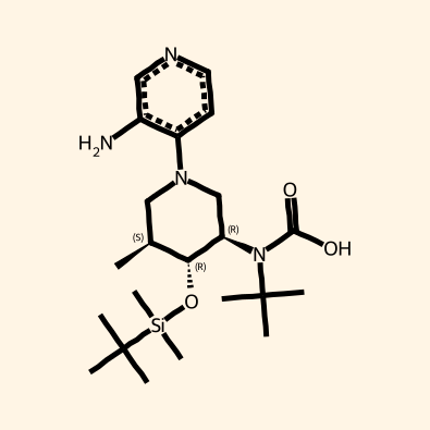 C[C@H]1CN(c2ccncc2N)C[C@@H](N(C(=O)O)C(C)(C)C)[C@@H]1O[Si](C)(C)C(C)(C)C